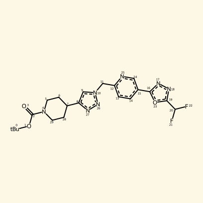 CC(C)(C)OC(=O)N1CCC(c2cn(Cc3ccc(-c4nnc(C(F)F)o4)cn3)nn2)CC1